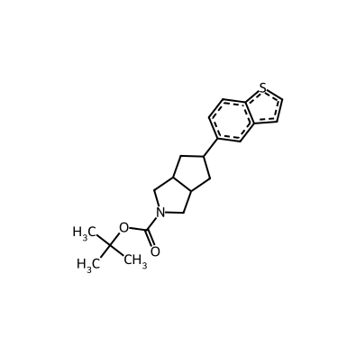 CC(C)(C)OC(=O)N1CC2CC(c3ccc4sccc4c3)CC2C1